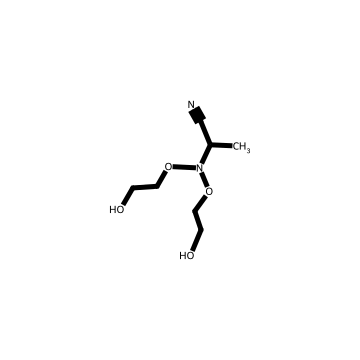 CC(C#N)N(OCCO)OCCO